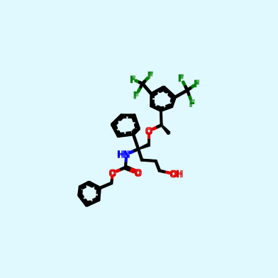 C[C@@H](OC[C@@](CCCO)(NC(=O)OCc1ccccc1)c1ccccc1)c1cc(C(F)(F)F)cc(C(F)(F)F)c1